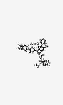 COc1cccc(F)c1-n1nc2c(-c3ccc(N4CCC5(CC4)OCCO5)cc3)nn(COCC[Si](C)(C)C)c2cc1=O